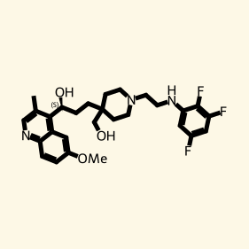 COc1ccc2ncc(C)c([C@@H](O)CCC3(CO)CCN(CCNc4cc(F)cc(F)c4F)CC3)c2c1